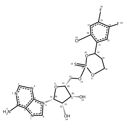 Nc1ncnc2c1ncn2[C@@H]1O[C@H](COP2(=S)OCCC(c3cc(F)c(F)cc3Cl)O2)[C@H](O)[C@@H]1O